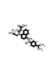 C#CCN(c1ccc(N[S+]([O-])c2ccc(C(C)C)cc2)c2ccccc12)[C@@H](C)CC(=O)O